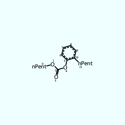 CCCCCOC(=O)Oc1ccccc1CCCCC